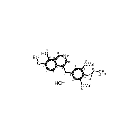 CCOc1ccc2c(Cc3cc(OC)c(OCC(F)(F)F)c(OC)c3)cncc2c1O.Cl